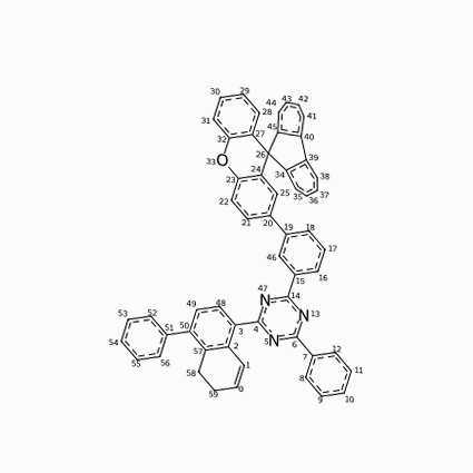 C1=Cc2c(-c3nc(-c4ccccc4)nc(-c4cccc(-c5ccc6c(c5)C5(c7ccccc7O6)c6ccccc6-c6ccccc65)c4)n3)ccc(-c3ccccc3)c2CC1